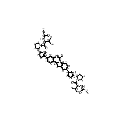 COC(=O)N[C@H](C(=O)N1CCC[C@H]1c1ncc(-c2ccc3c(c2)cc2c4ccc(-c5cnc([C@@H]6CCCN6C(=O)[C@@H](NC(=O)OC)C(C)C)[nH]5)cc4nc(C)n32)[nH]1)C(C)C